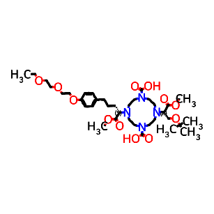 CCOCCOCCOc1ccc(CCC[C@@H](C(=O)OC)N2CCN(C(=O)O)CCN([C@H](COC(C)(C)C)C(=O)OC)CCN(C(=O)O)CC2)cc1